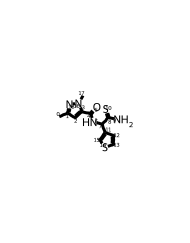 Cc1cc(C(=O)NC(C(N)=S)c2ccsc2)n(C)n1